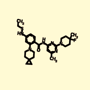 CCSNc1ccc(C(=O)Nc2cc(C)nc(N3CCC(C)(F)CC3)n2)c(N2CCC3(CC2)CC3)c1